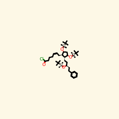 CC(C)(C)[Si](C)(C)O[C@H](CCc1ccccc1)CC[C@@H]1[C@@H](C/C=C\CCCC(=O)Cl)[C@@H](O[Si](C)(C)C(C)(C)C)C[C@H]1O[Si](C)(C)C(C)(C)C